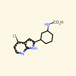 O=C(O)NC1CCCC(c2cc3c(Cl)ccnc3[nH]2)C1